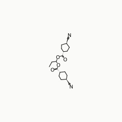 CCC(OC(=O)[C@H]1CC[C@H](C#N)CC1)OC(=O)[C@H]1CC[C@H](C#N)CC1